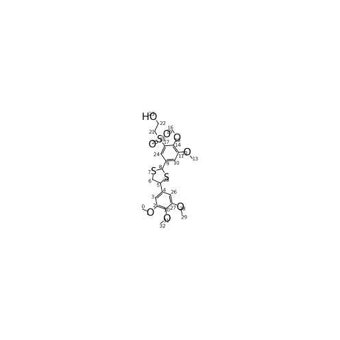 COc1cc(C2CSC(c3cc(OC)c(OC)c(S(=O)(=O)CCO)c3)S2)cc(OC)c1OC